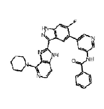 O=C(Nc1cncc(-c2cc3c(-c4nc5c(N6CCCCC6)nccc5[nH]4)n[nH]c3cc2F)c1)c1ccccc1